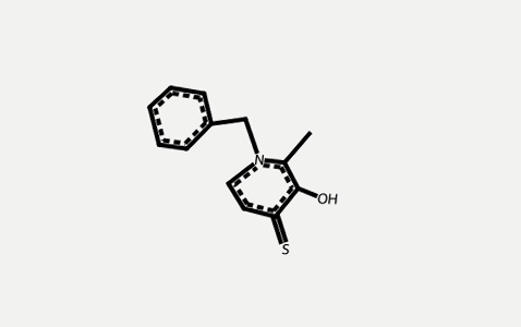 Cc1c(O)c(=S)ccn1Cc1ccccc1